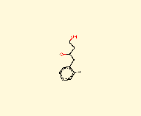 Cc1ccccc1CC([O])CCO